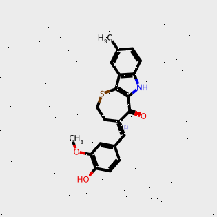 COc1cc(/C=C2\CCSc3c([nH]c4ccc(C)cc34)C2=O)ccc1O